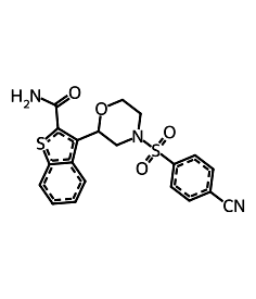 N#Cc1ccc(S(=O)(=O)N2CCOC(c3c(C(N)=O)sc4ccccc34)C2)cc1